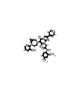 CCc1c(N2CCN(c3ncccc3O)C3CC3C2)c(=O)n2cc(C3=CCOCC3)nc2n1CC(=O)Nc1ccc(C(F)(F)F)cc1C